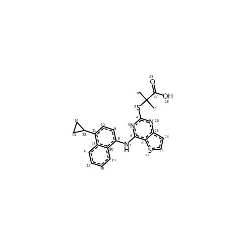 CC(C)(Sc1nc(Nc2ccc(C3CC3)c3ccccc23)c2sccc2n1)C(=O)O